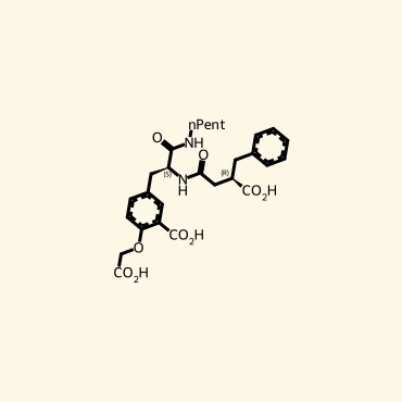 CCCCCNC(=O)[C@H](Cc1ccc(OCC(=O)O)c(C(=O)O)c1)NC(=O)C[C@@H](Cc1ccccc1)C(=O)O